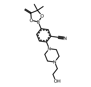 C=C1OB(c2ccc(N3CCN(CCO)CC3)c(C#N)c2)OC1(C)C